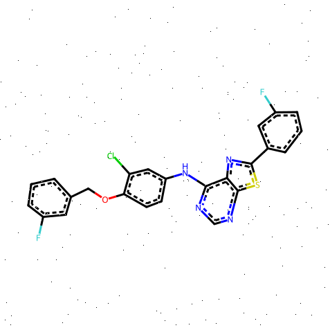 Fc1cccc(COc2ccc(Nc3ncnc4sc(-c5cccc(F)c5)nc34)cc2Cl)c1